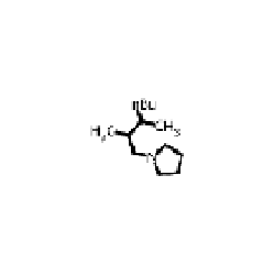 CCCCC(C)C(C)CN1CCCC1